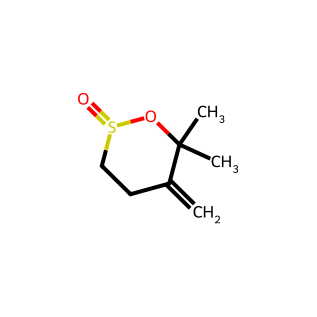 C=C1CCS(=O)OC1(C)C